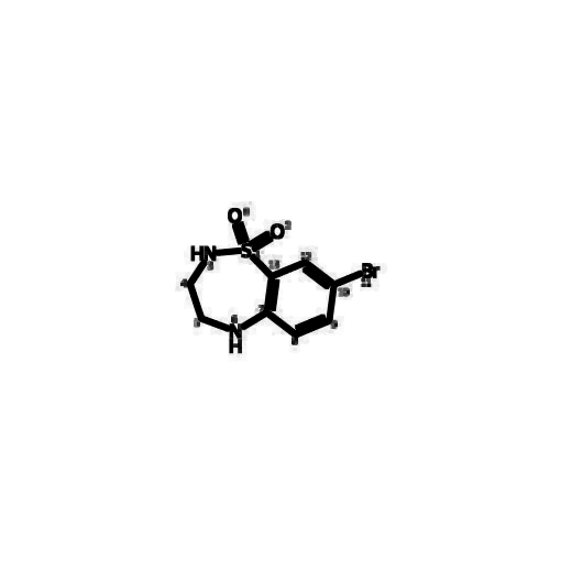 O=S1(=O)NCCNc2ccc(Br)cc21